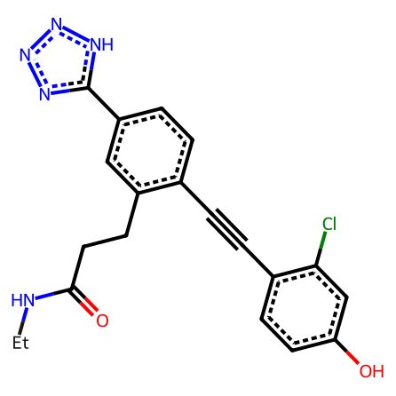 CCNC(=O)CCc1cc(-c2nnn[nH]2)ccc1C#Cc1ccc(O)cc1Cl